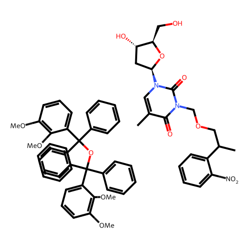 COc1cccc(C(OC(c2ccccc2)(c2ccccc2)c2cccc(OC)c2OC)(c2ccccc2)c2ccccc2)c1OC.Cc1cn([C@H]2C[C@H](O)[C@@H](CO)O2)c(=O)n(COCC(C)c2ccccc2[N+](=O)[O-])c1=O